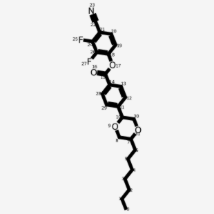 CCCCCCCC1COC(c2ccc(C(=O)Oc3ccc(C#N)c(F)c3F)cc2)CO1